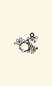 CC(C)n1nc(O[C@@H]2C[C@H]3C(=O)N[C@]4(C(=O)NS(=O)(=O)C5CC5)C[C@H]4/C=C\CC[C@H](C)C[C@@H](C)[C@H](NC(=O)O)C(=O)N3C2)c2ccccc2c1=O